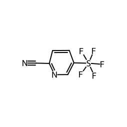 N#Cc1ccc(S(F)(F)(F)(F)F)cn1